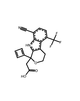 N#Cc1ccc(C(F)(F)F)c2c3c([nH]c12)C(CC(=O)O)(C1=CC=C1)OCC3